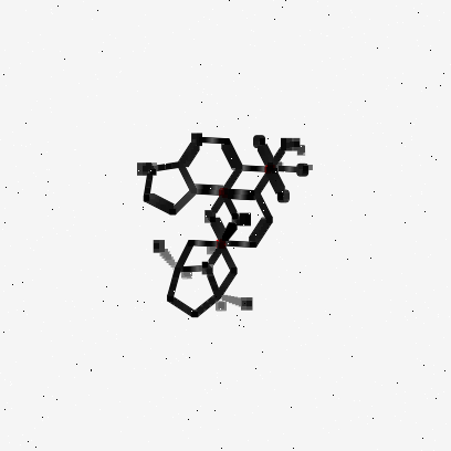 NC(=O)c1cnc2[nH]ccc2c1N[C@H]1C[C@H]2CC[C@@H](C1)N2c1ccc([N+](=O)[O-])cn1